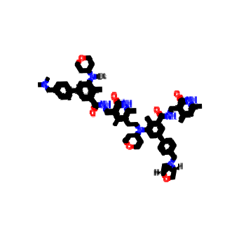 CCN(c1cc(-c2ccc(CN(C)C)cc2)cc(C(=O)NCc2c(C)c(CCN(c3cc(-c4ccc(CN5C[C@H]6C[C@@H]5CO6)cc4)cc(C(=O)NCc4c(C)cc(C)[nH]c4=O)c3C)C3CCOCC3)c(C)[nH]c2=O)c1C)C1CCOCC1